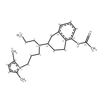 CCCN(CCCn1c(C)ccc1C)C1CCc2c(cccc2OC(C)=O)C1